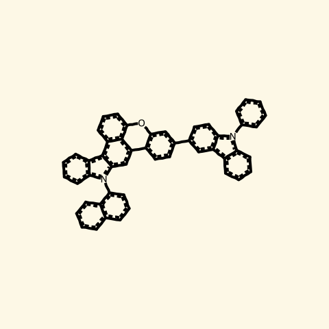 c1ccc(-n2c3ccccc3c3cc(-c4ccc5c(c4)Oc4cccc6c4c-5cc4c6c5ccccc5n4-c4cccc5ccccc45)ccc32)cc1